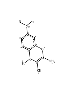 CCC1C(C#N)=C(N)Oc2cc(N(C)C)ccc21